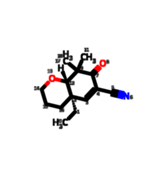 CC[C@@]12C=C(C#N)C(=O)C(C)(C)[C@H]1OCCC2